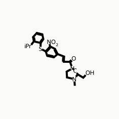 CC(C)c1ccccc1Sc1ccc(C=CC(=O)N2CCN(C)C(CO)C2)cc1[N+](=O)[O-]